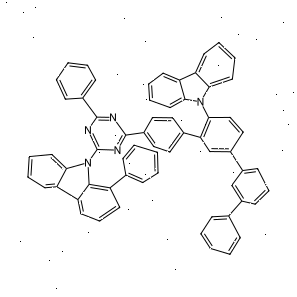 c1ccc(-c2cccc(-c3ccc(-n4c5ccccc5c5ccccc54)c(-c4ccc(-c5nc(-c6ccccc6)nc(-n6c7ccccc7c7cccc(-c8ccccc8)c76)n5)cc4)c3)c2)cc1